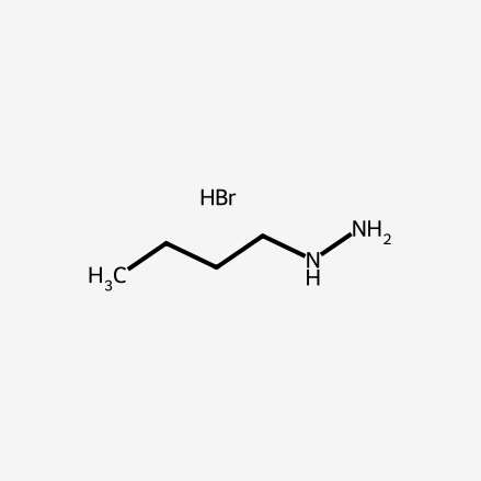 Br.CCCCNN